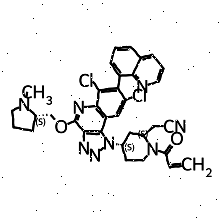 C=CC(=O)N1CC[C@H](n2nnc3c(OC[C@@H]4CCCN4C)nc4c(Cl)c(-c5cccc6cccnc56)c(Cl)cc4c32)C[C@H]1CC#N